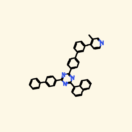 Cc1cnccc1-c1cccc(-c2ccc(-c3nc(-c4ccc(-c5ccccc5)cc4)nc(-c4cccc5ccccc45)n3)cc2)c1